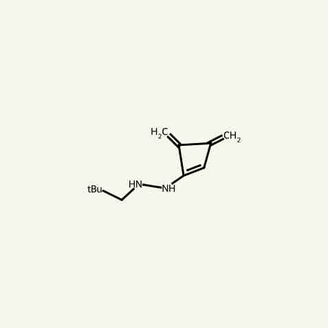 C=C1C=C(NNCC(C)(C)C)C1=C